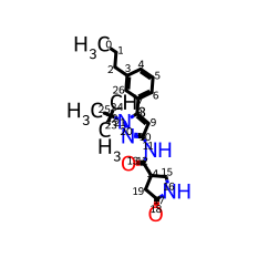 CCCc1cccc(-c2cc(NC(=O)C3CNC(=O)C3)nn2C(C)(C)C)c1